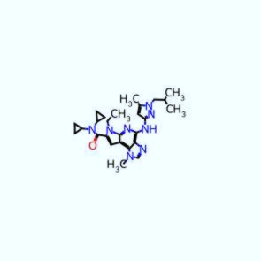 CCn1c(C(=O)N(C2CC2)C2CC2)cc2c3c(ncn3C)c(Nc3cc(C)n(CC(C)C)n3)nc21